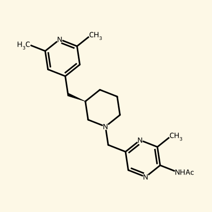 CC(=O)Nc1ncc(CN2CCC[C@H](Cc3cc(C)nc(C)c3)C2)nc1C